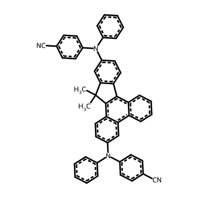 CC1(C)c2cc(N(c3ccccc3)c3ccc(C#N)cc3)ccc2-c2c1c1ccc(N(c3ccccc3)c3ccc(C#N)cc3)cc1c1ccccc21